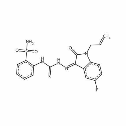 C=CCN1C(=O)C(=NNC(=S)Nc2ccccc2S(N)(=O)=O)c2cc(F)ccc21